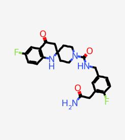 NC(=O)Cc1cc(CNC(=O)N2CCC3(CC2)CC(=O)c2cc(F)ccc2N3)ccc1F